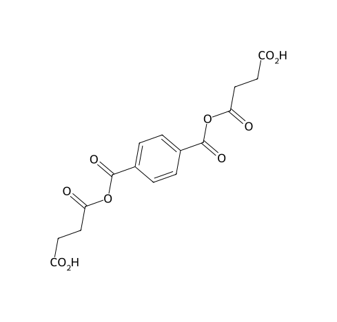 O=C(O)CCC(=O)OC(=O)c1ccc(C(=O)OC(=O)CCC(=O)O)cc1